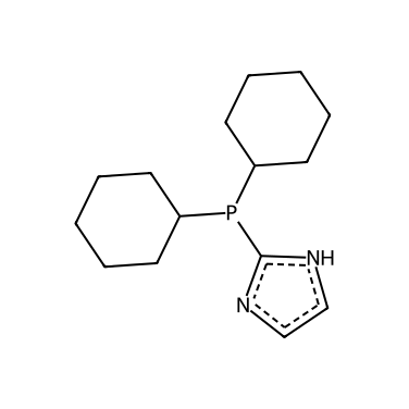 c1c[nH]c(P(C2CCCCC2)C2CCCCC2)n1